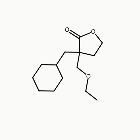 CCOCC1(CC2CCCCC2)CCOC1=O